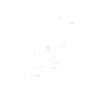 COc1ccccc1C1(c2ccc(C(N)=O)cc2Cl)Nc2ccc(C(=O)O)cc2N1